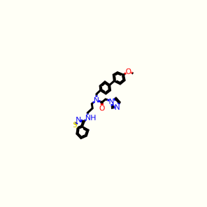 COc1ccc(-c2ccc(CN(CCCNc3nsc4ccccc34)C(=O)Cn3ccnc3)cc2)cc1